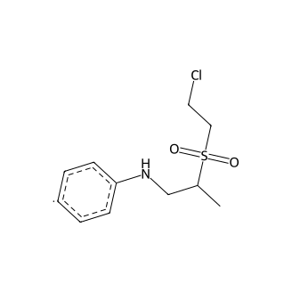 CC(CNc1cc[c]cc1)S(=O)(=O)CCCl